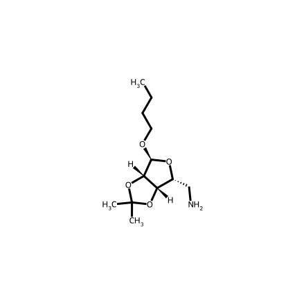 CCCCO[C@H]1O[C@H](CN)[C@@H]2OC(C)(C)O[C@H]12